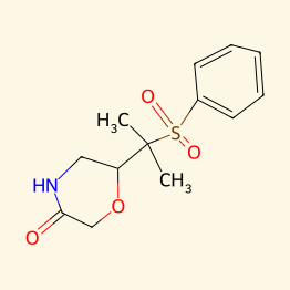 CC(C)(C1CNC(=O)CO1)S(=O)(=O)c1ccccc1